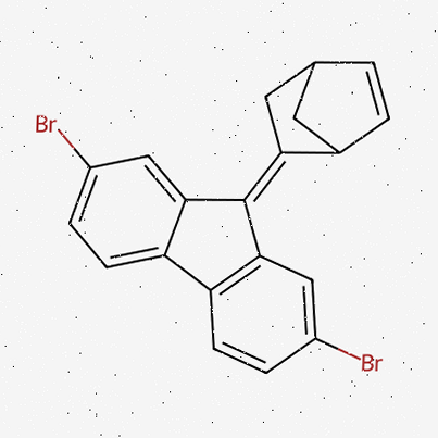 Brc1ccc2c(c1)C(=C1CC3C=CC1C3)c1cc(Br)ccc1-2